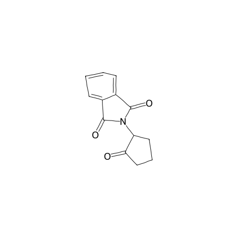 O=C1CCCC1N1C(=O)c2ccccc2C1=O